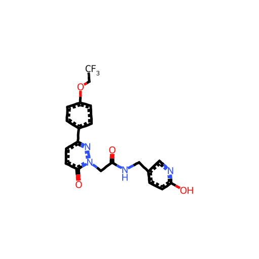 O=C(Cn1nc(-c2ccc(OCC(F)(F)F)cc2)ccc1=O)NCc1ccc(O)nc1